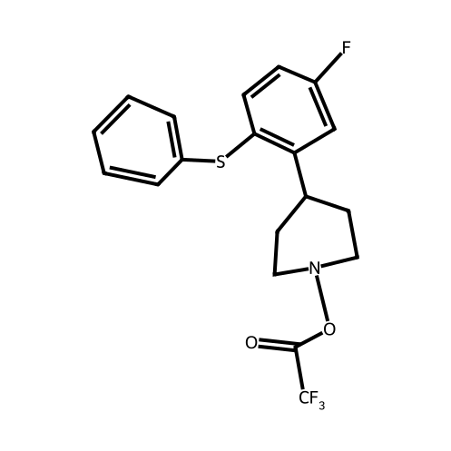 O=C(ON1CCC(c2cc(F)ccc2Sc2ccccc2)CC1)C(F)(F)F